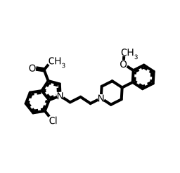 COc1ccccc1C1CCN(CCCn2cc(C(C)=O)c3cccc(Cl)c32)CC1